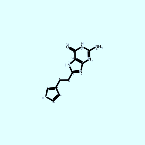 Nc1nc2nc(CCc3ccsc3)[nH]c2c(=O)[nH]1